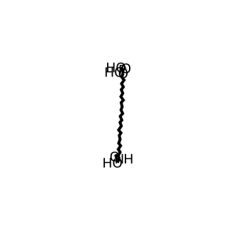 O=C(CCCCCCCCCCCCCCCCCCCCCCCCOP(=O)(O)O)NO